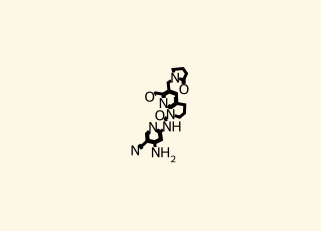 N#Cc1cnc(NC(=O)N2CCCc3cc(CN4CCCC4=O)c(C=O)nc32)cc1N